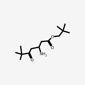 CC(C)(C)COC(=O)CC(N)CC(=O)C(C)(C)C